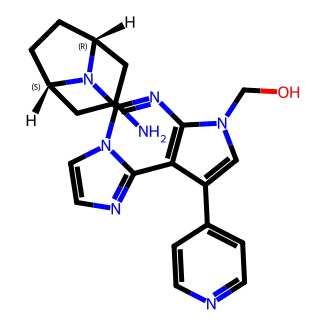 NC1C[C@H]2CC[C@@H](C1)N2c1nc2c(c(-c3ccncc3)cn2CO)c2nccn12